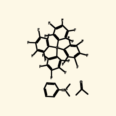 CC(C)=O.C[NH+](C)c1ccccc1.Fc1c(F)c(F)c([B-](c2c(F)c(F)c(F)c(F)c2F)(c2c(F)c(F)c(F)c(F)c2F)c2c(F)c(F)c(F)c(F)c2F)c(F)c1F